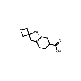 CC1(CN2CCC(C(=O)O)CC2)COC1